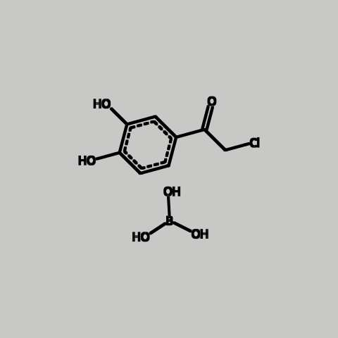 O=C(CCl)c1ccc(O)c(O)c1.OB(O)O